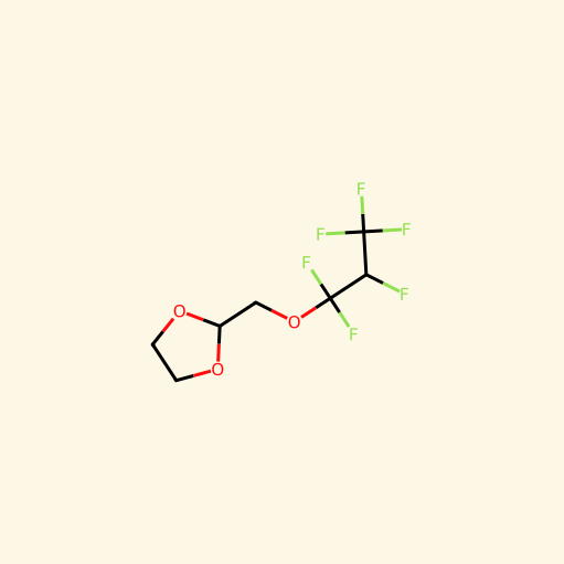 FC(C(F)(F)F)C(F)(F)OCC1OCCO1